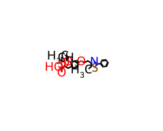 CCOc1cc(OCCc2nc(-c3ccccc3)sc2C)ccc1CC(OCC)C(=O)O